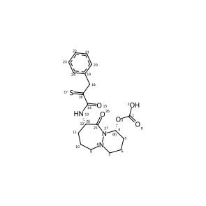 O=C(O)O[C@@H]1CCCN2CCC[C@H](NC(=O)C(=S)Cc3ccccc3)C(=O)N12